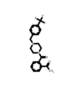 CC(=O)c1ccccc1C(=O)N1CCN(Cc2ccc(C(F)(F)F)cc2)CC1